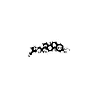 C[C@]1(O)CCC2=CC[C@H]3[C@@H]4CC[C@H]([C@@](C)(O)Cn5cc(C#N)cn5)[C@@]4(C)CC[C@@H]3[C@@]2(C)CC1